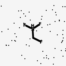 FC[SiH](F)F